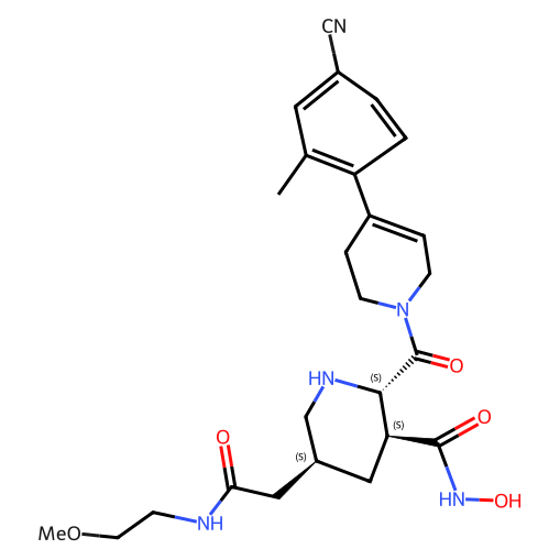 COCCNC(=O)C[C@H]1CN[C@H](C(=O)N2CC=C(c3ccc(C#N)cc3C)CC2)[C@@H](C(=O)NO)C1